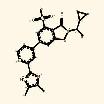 Cc1nc(-c2cc(-c3cc4c(c(S(C)(=O)=O)c3)C(=O)N(C(C)C3CC3)C4)ccn2)[nH]c1C